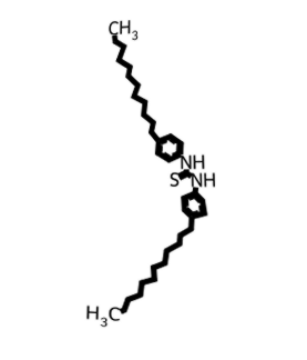 CCCCCCCCCCCCc1ccc(NC(=S)Nc2ccc(CCCCCCCCCCCC)cc2)cc1